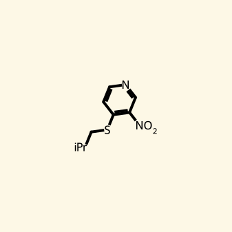 CC(C)CSc1ccncc1[N+](=O)[O-]